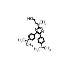 CN(C)c1ccc(-c2nnc(N(C)CCO)nc2-c2ccc(N(C)C)cc2)cc1